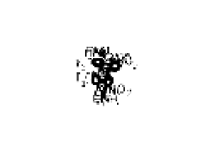 CCNC(=O)COc1c([N+](=O)[O-])ccc(Oc2ccc([N+](=O)[O-])c(OCC(=O)NCC)c2-c2ccc(C(F)(F)F)cc2Cl)c1-c1ccc(C(F)(F)F)cc1Cl